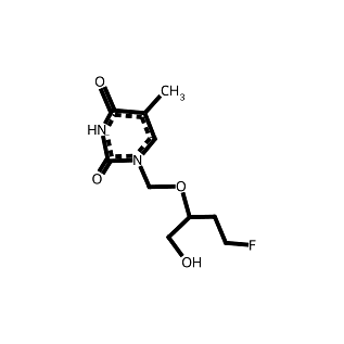 Cc1cn(COC(CO)CCF)c(=O)[nH]c1=O